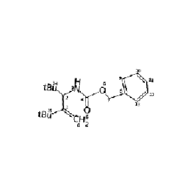 C=C(C(NC(=O)OCc1ccccc1)C(C)(C)C)C(C)(C)C